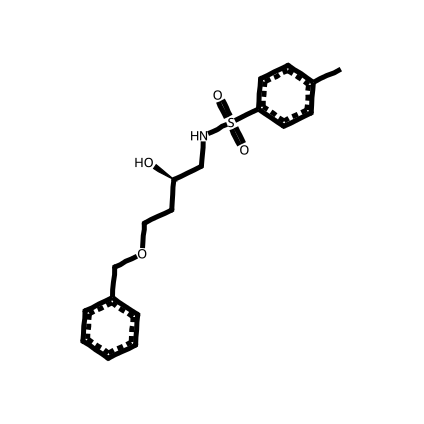 Cc1ccc(S(=O)(=O)NC[C@H](O)CCOCc2ccccc2)cc1